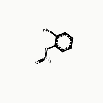 CCCc1ccccc1O[PH2]=O